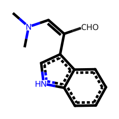 CN(C)/C=C(/C=O)c1c[nH]c2ccccc12